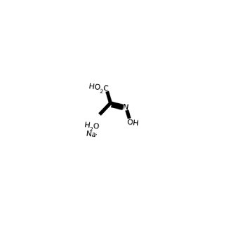 CC(=NO)C(=O)O.O.[Na]